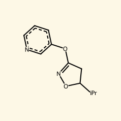 CC(C)C1CC(Oc2cccnc2)=NO1